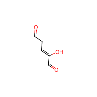 O=CCC=C(O)C=O